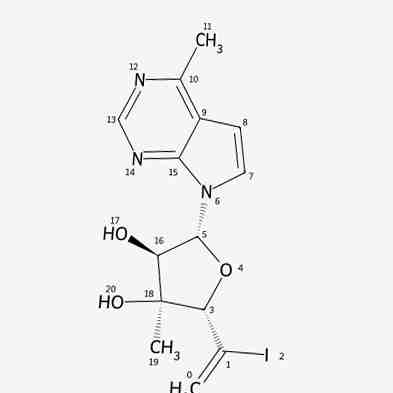 C=C(I)[C@H]1O[C@@H](n2ccc3c(C)ncnc32)[C@H](O)[C@]1(C)O